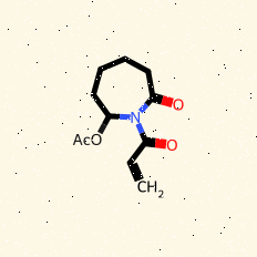 C=CC(=O)N1C(=O)CCCCC1OC(C)=O